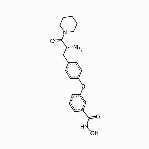 NC(Cc1ccc(Oc2cccc(C(=O)NO)c2)cc1)C(=O)N1CCCCC1